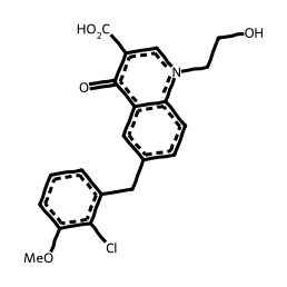 COc1cccc(Cc2ccc3c(c2)c(=O)c(C(=O)O)cn3CCO)c1Cl